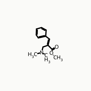 COC(=O)/C(=C/c1ccccc1)CN(C)C